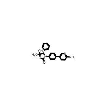 CC1(C)OC(=O)N(c2ccc(-c3ccc(N)nc3)cc2)[C@H]1c1ccccc1